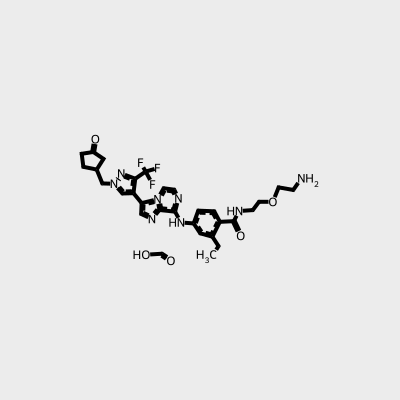 CCc1cc(Nc2nccn3c(-c4cn(CC5CCC(=O)C5)nc4C(F)(F)F)cnc23)ccc1C(=O)NCCOCCN.O=CO